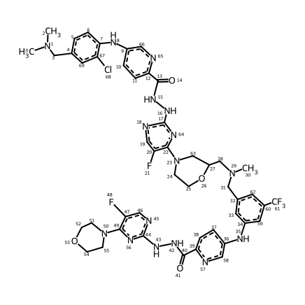 CN(C)Cc1ccc(Nc2ccc(C(=O)NNc3ncc(F)c(N4CCOC(CN(C)Cc5cc(Nc6ccc(C(=O)NNc7ncc(F)c(N8CCOCC8)n7)nc6)cc(C(F)(F)F)c5)C4)n3)nc2)c(Cl)c1